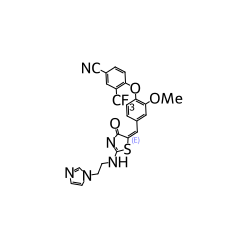 COc1cc(/C=C2/SC(NCCn3ccnc3)=NC2=O)ccc1Oc1ccc(C#N)cc1C(F)(F)F